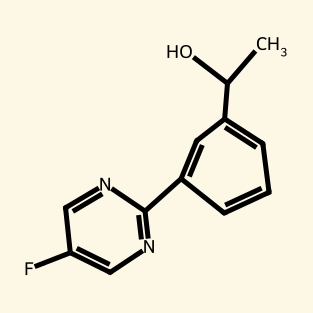 CC(O)c1cccc(-c2ncc(F)cn2)c1